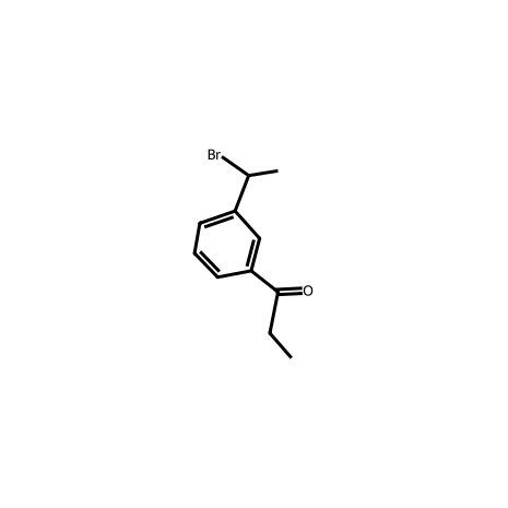 CCC(=O)c1cccc(C(C)Br)c1